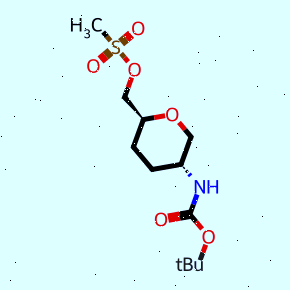 CC(C)(C)OC(=O)N[C@@H]1CC[C@@H](COS(C)(=O)=O)OC1